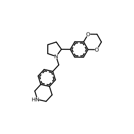 c1cc2c(cc1CN1CCCC1c1ccc3c(c1)OCCO3)CCNC2